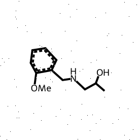 COc1ccccc1CNCC(C)O